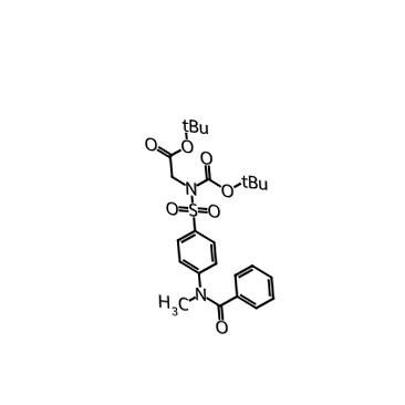 CN(C(=O)c1ccccc1)c1ccc(S(=O)(=O)N(CC(=O)OC(C)(C)C)C(=O)OC(C)(C)C)cc1